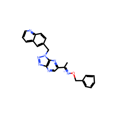 C/C(=N\OCc1ccccc1)c1cnc2nnn(Cc3ccc4ncccc4c3)c2n1